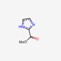 [CH]OC(=O)c1ncc[nH]1